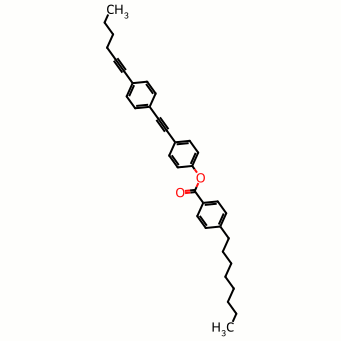 CCCCC#Cc1ccc(C#Cc2ccc(OC(=O)c3ccc(CCCCCCCC)cc3)cc2)cc1